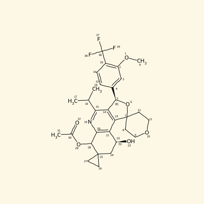 COc1cc([C@H]2OC3(CCOCC3)c3c2c(C(C)C)nc2c3[C@@H](O)CC3(CC3)C2OC(C)=O)ccc1C(F)(F)F